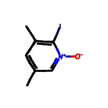 Cc1cc(C)c(I)[n+]([O-])c1